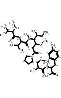 CCC(C)C(C(CC(=O)N1CCC[C@H]1C(OC)C(C)C(=O)NC(Cc1ccc(C)cc1)C(=O)O)OC)N(C)C(=O)C(NC(=O)C(NC)C(C)C)C(C)C